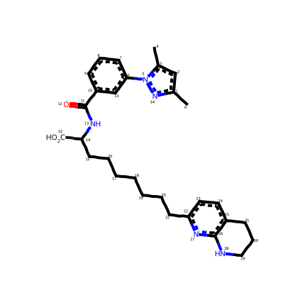 Cc1cc(C)n(-c2cccc(C(=O)NC(CCCCCCCc3ccc4c(n3)NCCC4)C(=O)O)c2)n1